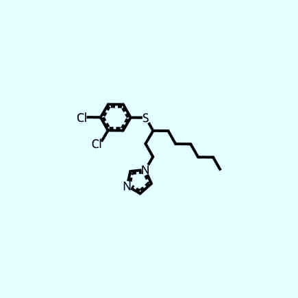 CCCCCCC(CCn1ccnc1)Sc1ccc(Cl)c(Cl)c1